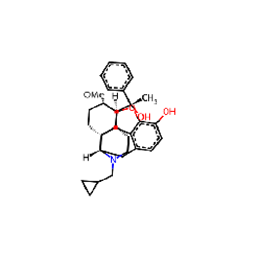 CO[C@@]12CC[C@]3(CC1[C@@](C)(O)c1ccccc1)[C@@H]1Cc4ccc(O)c5c4[C@]3(CCN1CC1CC1)[C@@H]2O5